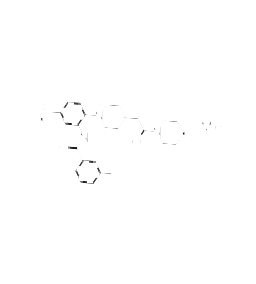 COC1(C)CCN(C(=O)CC2CCN(c3ccc([S+](C)[O-])cc3NC(=O)c3cccc(Cl)c3)CC2)CC1